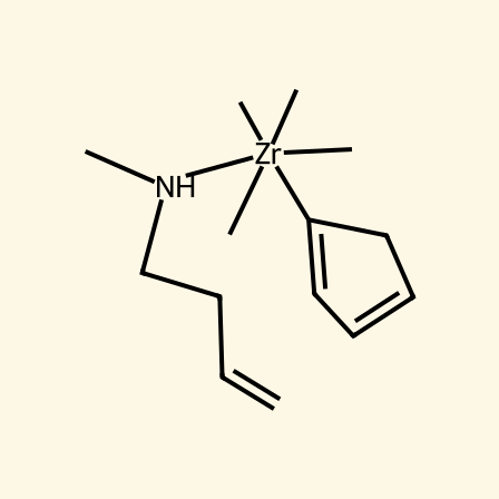 C=CCCNC.[CH3][Zr]([CH3])([CH3])([CH3])([CH3])[C]1=CC=CC1